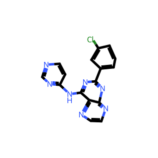 Clc1cccc(-c2nc(Nc3ccncn3)c3nccnc3n2)c1